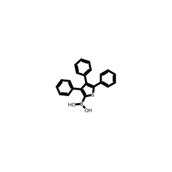 OB(O)c1sc(-c2ccccc2)c(-c2ccccc2)c1-c1ccccc1